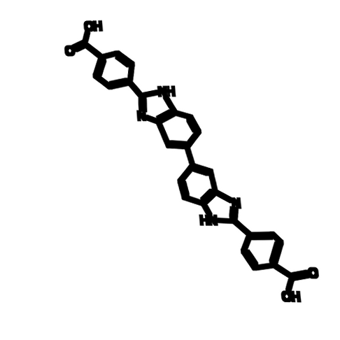 O=C(O)c1ccc(-c2nc3cc(-c4ccc5[nH]c(-c6ccc(C(=O)O)cc6)nc5c4)ccc3[nH]2)cc1